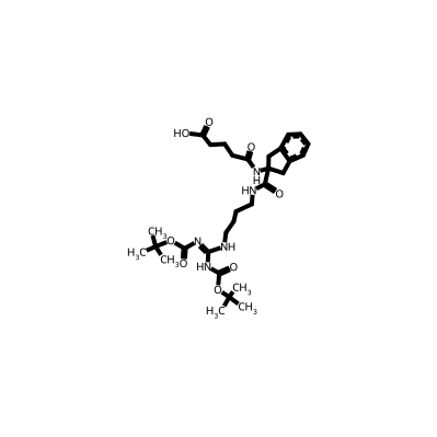 CC(C)(C)OC(=O)N=C(NCCCCNC(=O)C1(NC(=O)CCCC(=O)O)Cc2ccccc2C1)NC(=O)OC(C)(C)C